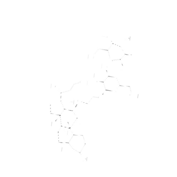 CCC[C@@H](C)[C@H]1CC[C@H]2[C@@H]3CC[C@@H]4C[C@H](O)CC[C@]4(C)[C@H]3C[C@H](OCCO[C@@H]3OC(CO)[C@@H](O[C@H]4OC(CO)[C@@H](O)[C@H](O)C4O)[C@H](O)C3O)[C@]12C